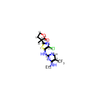 CCNc1nc(Nc2sc(C3(C)CCOC3=O)nc2Cl)ncc1C(F)(F)F